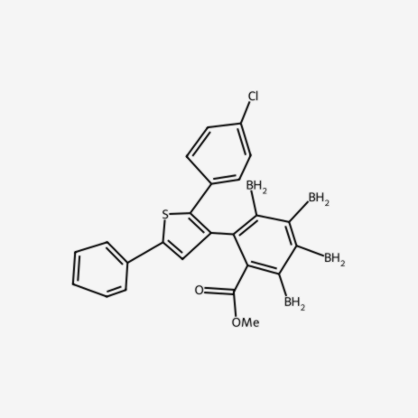 Bc1c(B)c(B)c(-c2cc(-c3ccccc3)sc2-c2ccc(Cl)cc2)c(C(=O)OC)c1B